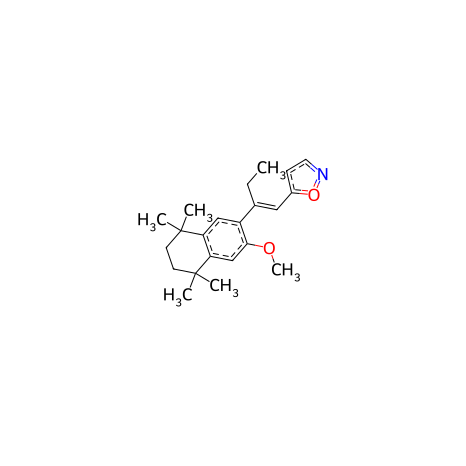 CC/C(=C\c1ccno1)c1cc2c(cc1OC)C(C)(C)CCC2(C)C